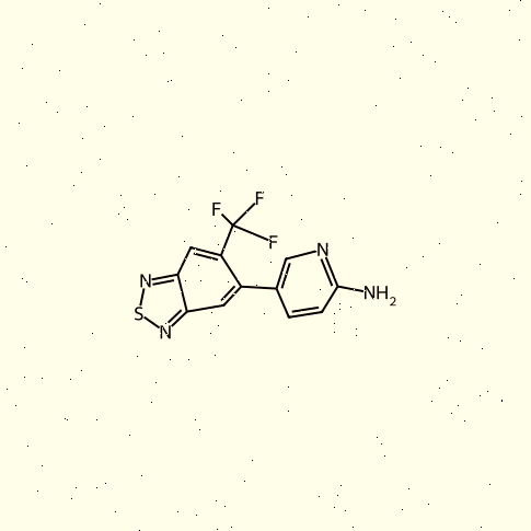 Nc1ccc(-c2cc3nsnc3cc2C(F)(F)F)cn1